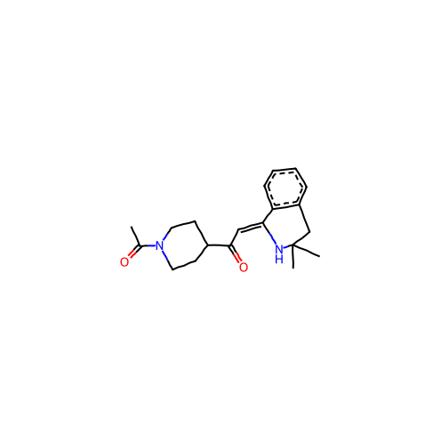 CC(=O)N1CCC(C(=O)C=C2NC(C)(C)Cc3ccccc32)CC1